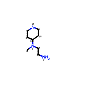 CN(CCN)C1CC[N]CC1